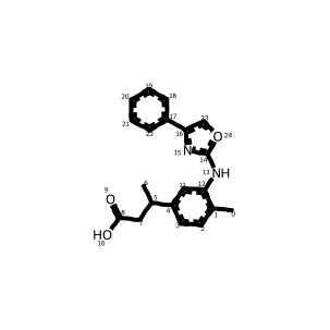 Cc1ccc(C(C)CC(=O)O)cc1Nc1nc(-c2ccccc2)co1